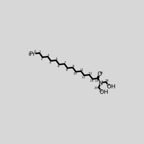 CC(C)CCCCCCCCCCCCCCC(=O)N(CO)CO